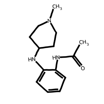 CC(=O)Nc1ccccc1NC1CCN(C)CC1